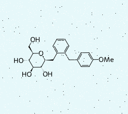 COc1ccc(Cc2ccccc2C[C@@H]2O[C@H](CO)[C@@H](O)[C@H](O)[C@H]2O)cc1